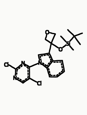 CC(C)(C)[Si](C)(C)OC1(c2cn(-c3nc(Cl)ncc3Cl)c3ccccc23)COC1